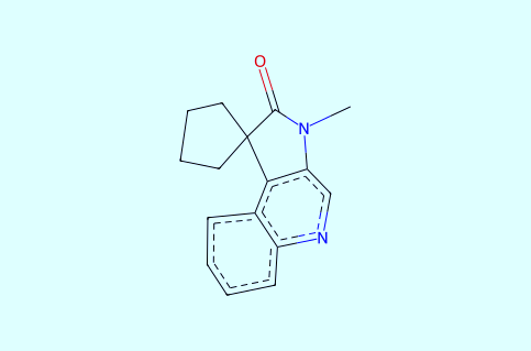 CN1C(=O)C2(CCCC2)c2c1cnc1ccccc21